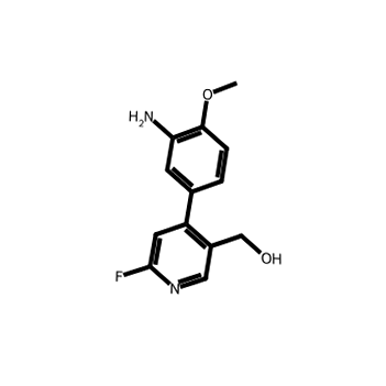 COc1ccc(-c2cc(F)ncc2CO)cc1N